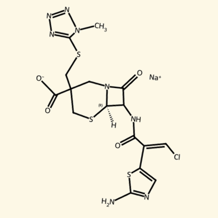 Cn1nnnc1SCC1(C(=O)[O-])CS[C@@H]2C(NC(=O)C(=CCl)c3cnc(N)s3)C(=O)N2C1.[Na+]